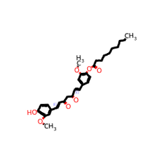 CCCCCCCCCC(=O)Oc1ccc(/C=C/C(=O)CC(=O)/C=C/c2ccc(O)c(OC)c2)cc1OC